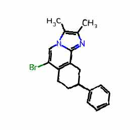 Cc1nc2c3c(c(Br)cn2c1C)CCC(c1ccccc1)C3